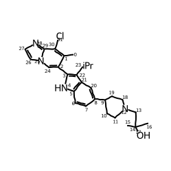 Cc1c(-c2[nH]c3ccc(C4CCN(CC(C)(C)O)CC4)cc3c2C(C)C)cn2ccnc2c1Cl